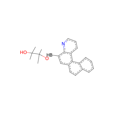 CC(C)(O)C(C)(C)OBc1cc2ccc3ccccc3c2c2cccnc12